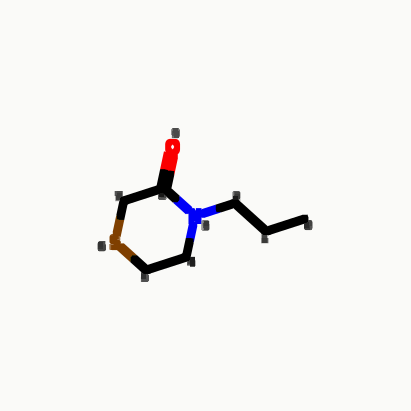 CCCN1CCSCC1=O